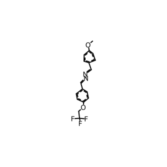 COc1ccc(/C=N/N=C/c2ccc(OCC(F)(F)F)cc2)cc1